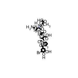 CC[N+](C=O)(CC1=C(C(=O)O)N2C(=O)C(NC(=O)/C(=N\OC(C)(C)C(=O)O)c3csc(N)n3)[C@@H]2SC1)[C@@H]1CCCN1C(=O)c1cc(O)c(O)c(Br)c1